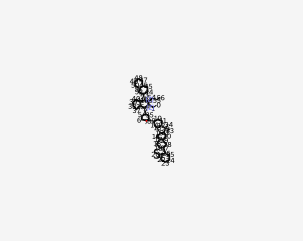 C/C=c1/c(-c2cccc(-c3ccc4c(c3)-c3cc5cc6sc7ccccc7c6cc5cc3C4(C)C)c2)c2ccccc2c(-c2ccc3ccccc3c2)/c1=C/CC